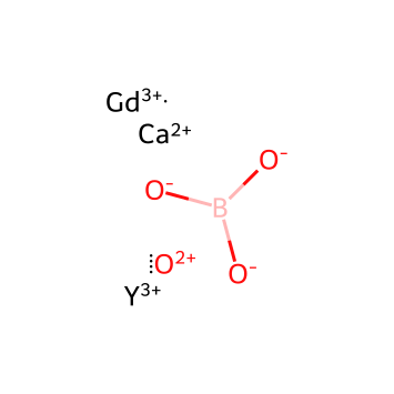 [Ca+2].[Gd+3].[O+2].[O-]B([O-])[O-].[Y+3]